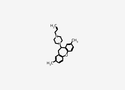 C=CCN1CCN(C2Cc3cc(C)ccc3Oc3ccc(C)cc32)CC1